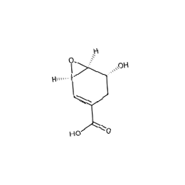 O=C(O)C1=C[C@H]2O[C@H]2[C@H](O)C1